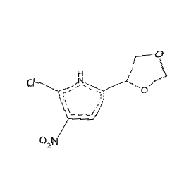 O=[N+]([O-])c1cc(C2COCO2)[nH]c1Cl